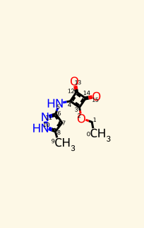 CCOc1c(Nc2cc(C)[nH]n2)c(=O)c1=O